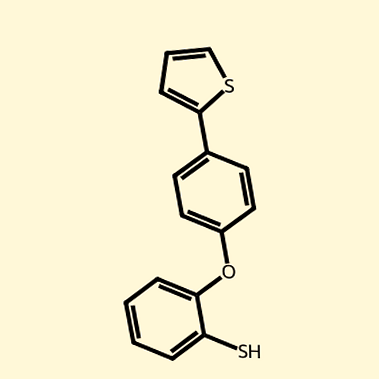 Sc1ccccc1Oc1ccc(-c2cccs2)cc1